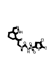 CN(C/C(F)=C1\CCCc2cn[nH]c21)C(=O)NS(=O)(=O)c1cc(Cl)c(Cl)s1